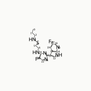 CCCNSCCNc1nc(-c2c[nH]c3ncc(F)cc23)ncc1F